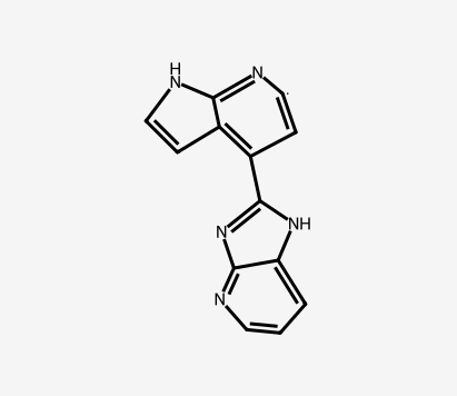 [c]1cc(-c2nc3ncccc3[nH]2)c2cc[nH]c2n1